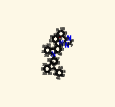 c1ccc(-c2nccnc2-n2c3ccccc3c3c4c5ccccc5n(-c5ccc6c(c5)-c5ccccc5C6c5ccccc5)c4ccc32)cc1